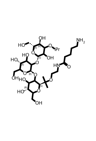 CC(C)OC1C(O)[C@H](OC2C(O)[C@@H](O)C(CO)O[C@@H]2OC2C(O)[C@@H](O)C(CO)O[C@@H]2C(C)(C)OCCNC(=O)CCCCN)O[C@H](CO)[C@H]1O